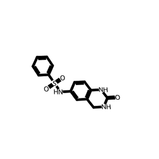 O=C1NCc2cc(NS(=O)(=O)c3ccccc3)ccc2N1